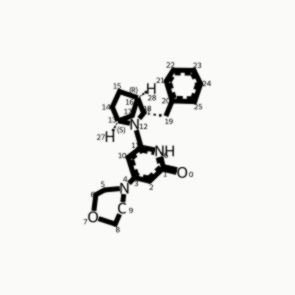 O=c1cc(N2CCOCC2)cc(N2[C@H]3CC[C@H](C3)[C@@H]2Cc2ccccc2)[nH]1